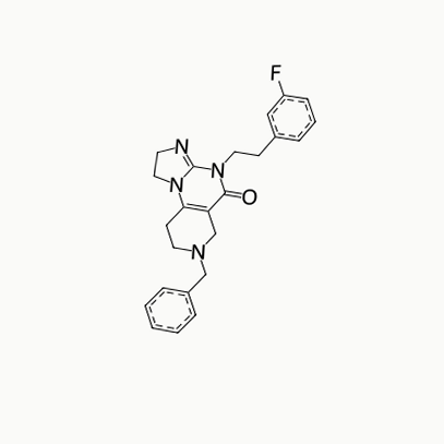 O=C1C2=C(CCN(Cc3ccccc3)C2)N2CCN=C2N1CCc1cccc(F)c1